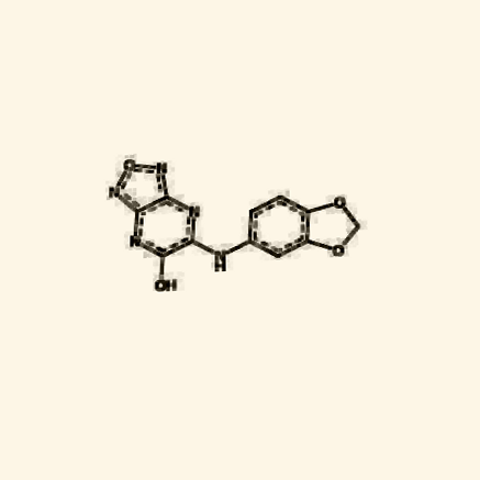 Oc1nc2nonc2nc1Nc1ccc2c(c1)OCO2